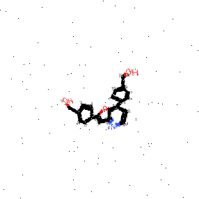 OCc1ccc(-c2cc3nccc(-c4ccc(CO)cc4)c3o2)cc1